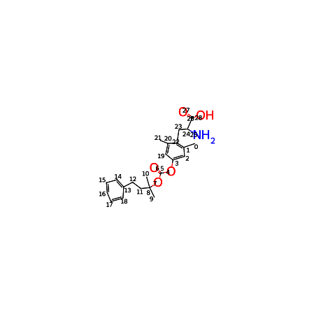 Cc1cc(OC(=O)OC(C)(C)CCc2ccccc2)cc(C)c1CC(N)C(=O)O